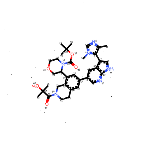 Cc1ncn(C)c1-c1c[nH]c2ncc(-c3cc4c(c(C5COCCN5C(=O)OC(C)(C)C)c3)CN(C(=O)C(C)(C)O)CC4)cc12